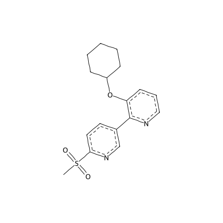 CS(=O)(=O)c1ccc(-c2ncccc2OC2CCCCC2)cn1